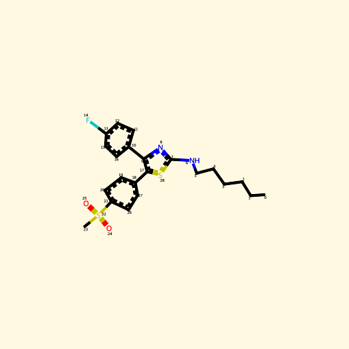 CCCCCCNc1nc(-c2ccc(F)cc2)c(-c2ccc(S(C)(=O)=O)cc2)s1